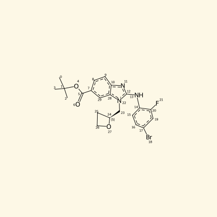 CC(C)(C)OC(=O)c1ccc2nc(Nc3ccc(Br)cc3F)n(C[C@@H]3CCO3)c2c1